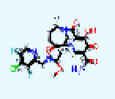 COC1C[C@]2(CC[C@H](C)N3C[C@H]2n2cc(C(N)=O)c(=O)c(O)c2C3=O)ON1Cc1ncc(F)c(Cl)c1F